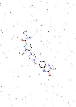 CCc1nc2ccc(CN3CCN(c4ccc(C(=O)NC5CC5)nc4C)CC3)cc2[nH]c1=O